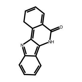 O=c1[nH]c2c(c3c1=CC=CC3)N=c1ccccc1=2